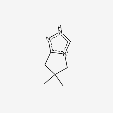 CC1(C)Cc2n[nH]c[n+]2C1